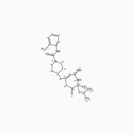 Cc1ccccc1NC(=O)N1CCC(CC2=CC(=N)NC(C)(CC(C)C)C(=O)C2)CC1